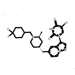 C[C@H]1C[C@H](Cc2ccn3ncc(-n4cc(Cl)c(=O)[nH]c4=O)c3c2)CCN1CC1CCC(F)(F)CC1